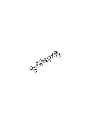 CC(C)(C)OC(=O)CN1CCC(NC(=O)CCCC(NC(=O)OCC2c3ccccc3-c3ccccc32)C(=O)O)CC1